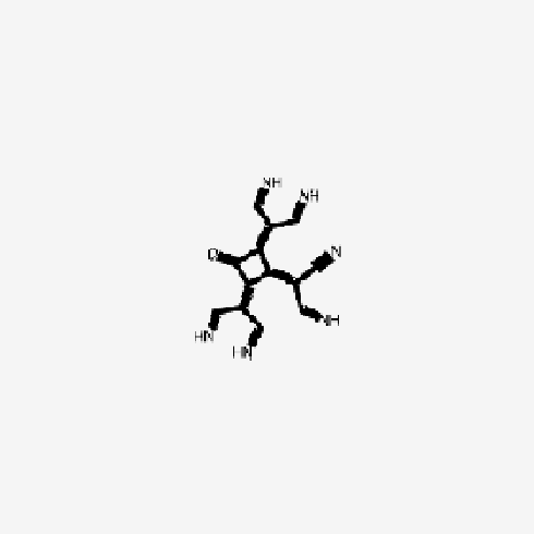 N#CC(C=N)=C1C(=C(C=N)C=N)C(=O)C1=C(C=N)C=N